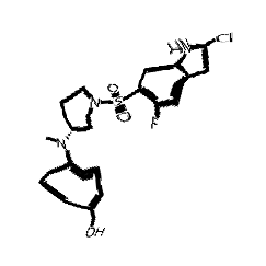 CN(c1ccc(O)cc1)[C@@H]1CCN(S(=O)(=O)c2cc3[nH]c(Cl)cc3cc2F)C1